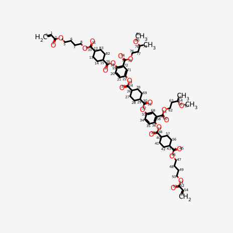 C=CC(=O)OCCCCOC(=O)C1CCC(C(=O)Oc2ccc(OC(=O)C3CCC(C(=O)Oc4ccc(OC(=O)C5CCC(C(=O)OCCCCOC(=O)C=C)CC5)c(C(=O)OCCC(C)OC)c4)CC3)cc2C(=O)OCCC(C)OC)CC1